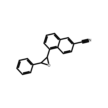 N#Cc1ccc2c(C3OC3c3ccccc3)cccc2c1